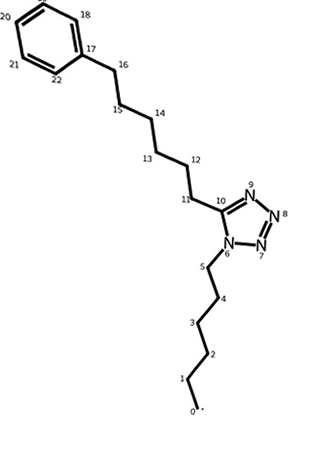 [CH2]CCCCCn1nnnc1CCCCCCc1ccccc1